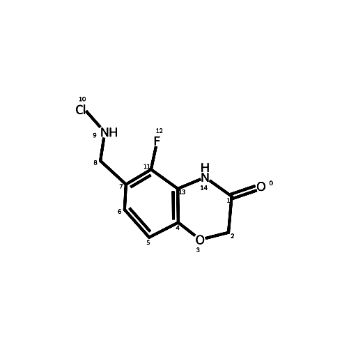 O=C1COc2ccc(CNCl)c(F)c2N1